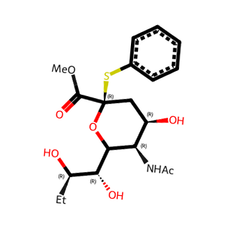 CC[C@@H](O)[C@@H](O)C1O[C@](Sc2ccccc2)(C(=O)OC)C[C@@H](O)[C@H]1NC(C)=O